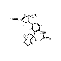 CCC1(c2cccs2)OCC(=O)Nc2ccc(-c3sc(C#N)cc3C)cc21